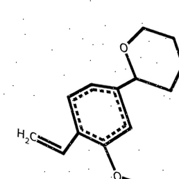 C=Cc1ccc(C2CCCCO2)cc1OC